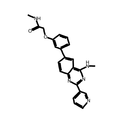 CNC(=O)COc1cccc(-c2ccc3nc(-c4cccnc4)nc(NC)c3c2)c1